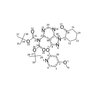 COc1ccnc(Oc2nn(C3CCCCC3=O)c3ncnc(N(C(=O)OC(C)(C)C)C(=O)OC(C)(C)C)c23)c1